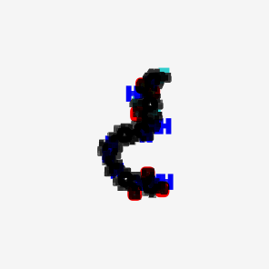 O=C1CCC(N2Cc3cc(N4CC(CN5CCN(Cc6ccc(-c7cnc8[nH]cc(C(=O)c9c(F)ccc(NS(=O)(=O)N%10CC[C@@H](F)C%10)c9F)c8c7)cc6)CC5)C4)ccc3C2=O)C(=O)N1